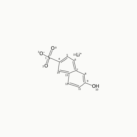 O=S(=O)([O-])c1ccc2cc(O)ccc2c1.[Li+]